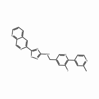 Cc1cc(-c2ncc(CNc3nsc(-c4cc5cccnc5cn4)n3)cc2F)ccn1